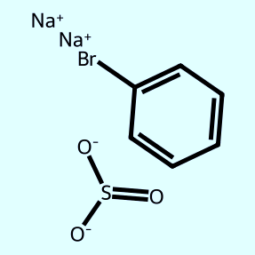 Brc1ccccc1.O=S([O-])[O-].[Na+].[Na+]